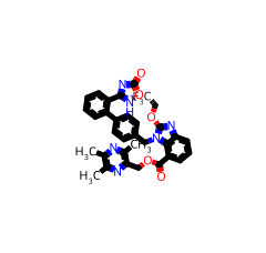 Cc1nc(C)c(COC(=O)c2cccc3nc(OCC(F)(F)F)n(Cc4ccc(-c5ccccc5-c5nc(=O)o[nH]5)cc4)c23)nc1C